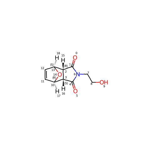 O=C1[C@@H]2[C@H](C(=O)N1CCO)[C@H]1C=C[C@@H]2O1